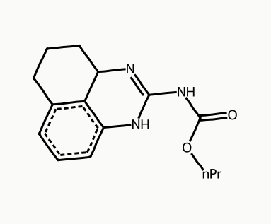 CCCOC(=O)NC1=NC2CCCc3cccc(c32)N1